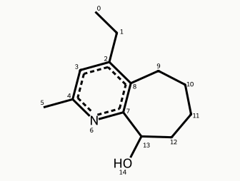 CCc1cc(C)nc2c1CCCCC2O